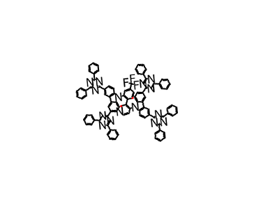 FC(F)(F)c1ccc(-c2cnccc2-n2c3ccc(-c4nc(-c5ccccc5)nc(-c5ccccc5)n4)cc3c3cc(-c4nc(-c5ccccc5)nc(-c5ccccc5)n4)ccc32)c(-n2c3ccc(-c4nc(-c5ccccc5)nc(-c5ccccc5)n4)cc3c3cc(-c4nc(-c5ccccc5)nc(-c5ccccc5)n4)ccc32)c1